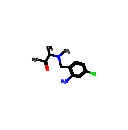 CC(=O)C(C)N(C)Cc1ccc(Cl)cc1N